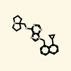 c1cc(Cn2cnc3c(OCC45CCCN4CCC5)ncnc32)c2c(C3CC3)cccc2c1